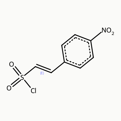 O=[N+]([O-])c1ccc(/C=C/S(=O)(=O)Cl)cc1